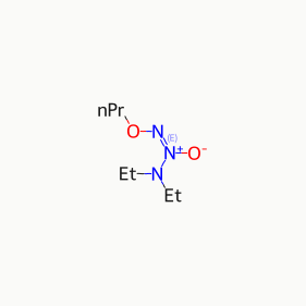 CCCO/N=[N+](/[O-])N(CC)CC